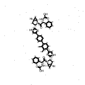 Cc1c(-c2ccc(-c3c[nH]c([C@@H]4C[C@H]5CC5N4C(=O)[C@H](NC(=O)O)c4ccccc4)n3)cc2)ccc(-c2c[nH]c([C@@H]3C[C@H]4CC4N3C(=O)[C@H](NC(=O)O)c3ccccc3)n2)c1C